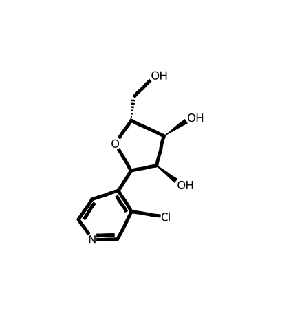 OC[C@H]1OC(c2ccncc2Cl)[C@H](O)[C@@H]1O